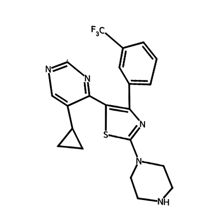 FC(F)(F)c1cccc(-c2nc(N3CCNCC3)sc2-c2n[c]ncc2C2CC2)c1